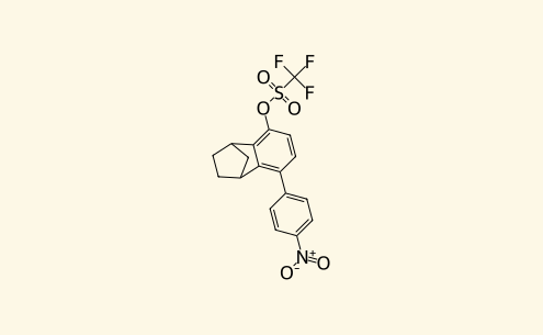 O=[N+]([O-])c1ccc(-c2ccc(OS(=O)(=O)C(F)(F)F)c3c2C2CCC3C2)cc1